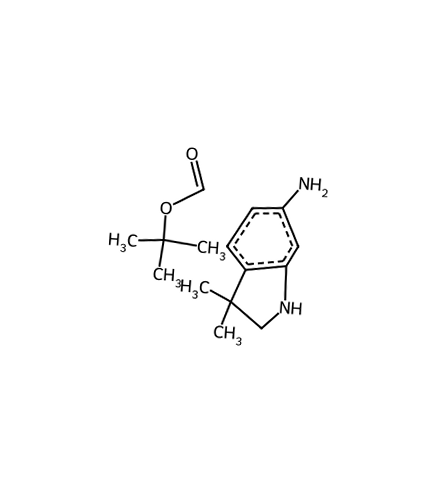 CC(C)(C)OC=O.CC1(C)CNc2cc(N)ccc21